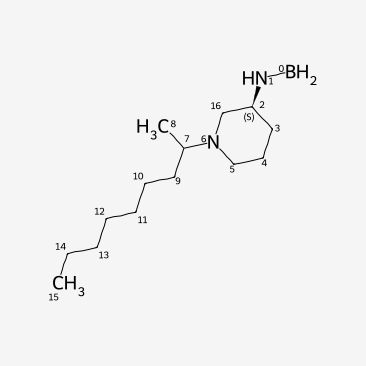 BN[C@H]1CCCN(C(C)CCCCCCC)C1